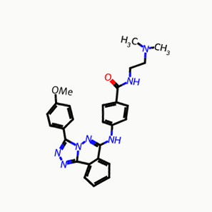 COc1ccc(-c2nnc3c4ccccc4c(Nc4ccc(C(=O)NCCN(C)C)cc4)nn23)cc1